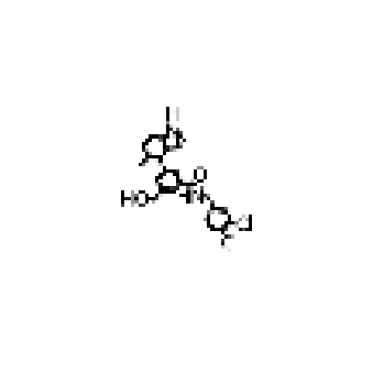 Cc1ccc2[nH]ncc2c1-c1cc(CO)cc(C(=O)NCc2ccc(Cl)c(Cl)c2)c1